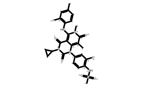 Cc1ccc(Nc2c3c(=O)n(C4CC4)c(=O)n(-c4ccc(NS(C)(=O)=O)c(Cl)c4)c3c(C)c(=O)n2C)c(F)c1